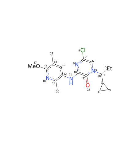 CC[C@H](C1CC1)n1cc(Cl)nc(Nc2cc(C)c(OC)nc2C)c1=O